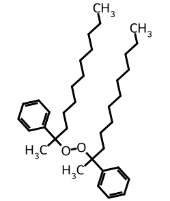 CCCCCCCCCCC(C)(OOC(C)(CCCCCCCCCC)c1ccccc1)c1ccccc1